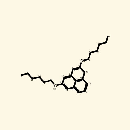 CCCCCCOC1=Cc2cc(OCCCCCC)cc3cccc(c23)C1